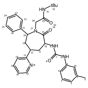 Cc1cccc(NC(=O)NC2CC(c3ccccn3)CC(c3ccccc3)N(CC(=O)NC(C)(C)C)C2=O)c1